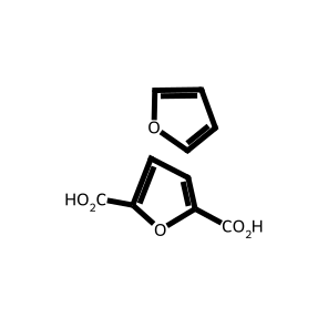 O=C(O)c1ccc(C(=O)O)o1.c1ccoc1